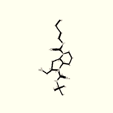 CCCCOC(=O)N1CCCC2C1CC(CO)N2C(=O)OC(C)(C)C